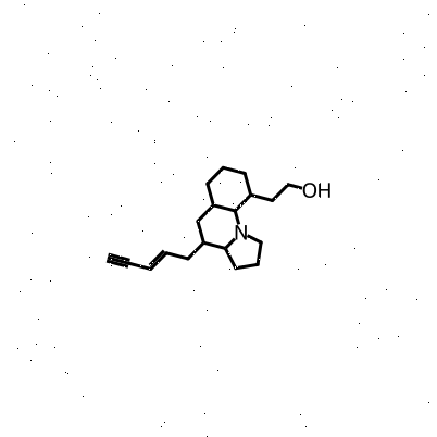 C#CC=CCC1CC2CCCC(CCO)C2N2CCCC12